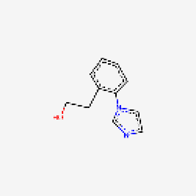 OCCc1ccccc1-n1ccnc1